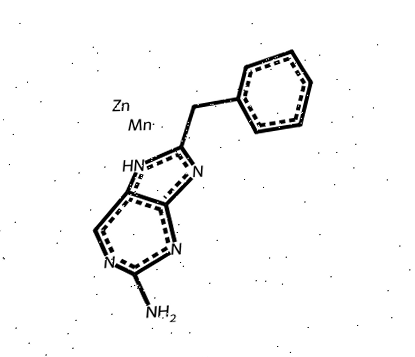 Nc1ncc2[nH]c(Cc3ccccc3)nc2n1.[Mn].[Zn]